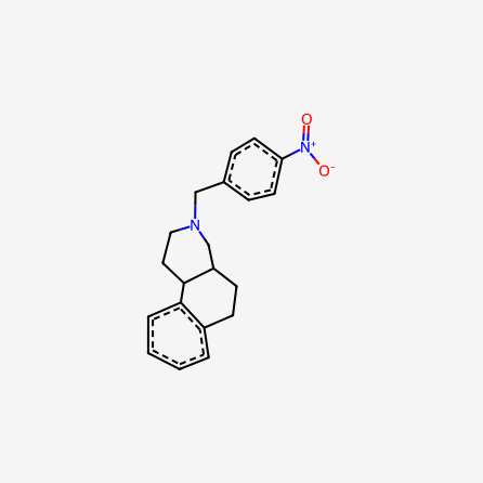 O=[N+]([O-])c1ccc(CN2CCC3c4ccccc4CCC3C2)cc1